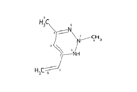 C=CC1=CC(C)=NN(C)N1